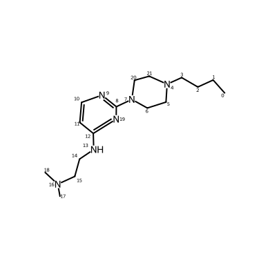 CCCCN1CCN(c2nccc(NCCN(C)C)n2)CC1